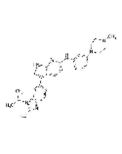 Cc1nc2cnc(-c3c[nH]c4nc(Nc5cccc(N6CCN(C)CC6)c5)ccc34)cc2n1C(C)C